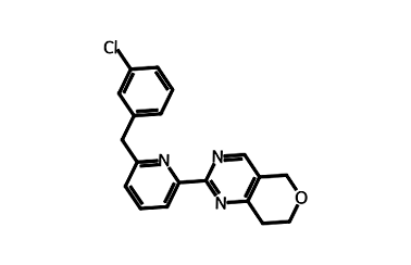 Clc1cccc(Cc2cccc(-c3ncc4c(n3)CCOC4)n2)c1